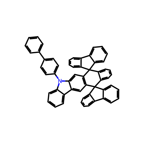 c1ccc(-c2ccc(-n3c4ccccc4c4cc5c(cc43)C3(c4ccccc4-c4ccccc43)c3ccccc3C53c4ccccc4-c4ccccc43)cc2)cc1